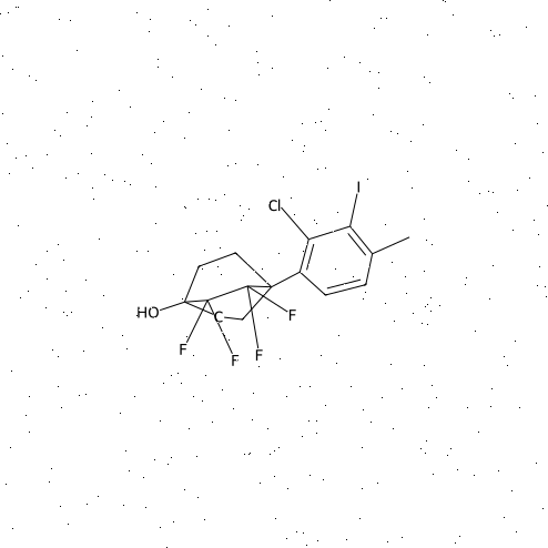 Cc1ccc(C23CCC(O)(CC2)C(F)(F)C3(F)F)c(Cl)c1I